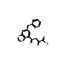 O=C(O)C(=O)CC(=O)c1cc(Cc2ccccc2)cc2c1OCO2